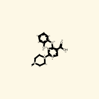 CN1CCN(c2ncc(C(=O)O)c(Oc3ccccc3Cl)n2)CC1